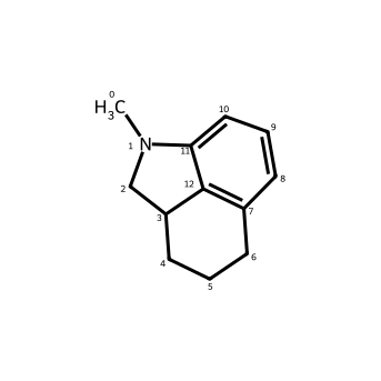 CN1CC2CCCc3cccc1c32